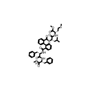 CNC(=O)[C@@H](Cc1ccccc1)NC(=O)[C@H](Cc1ccccc1)NC(=O)c1ccccc1-c1ccccc1C(=O)N[C@@H](CC(C)C)C(=O)N[C@@H](CCSC)C(=O)OC